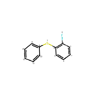 Fc1ccc[c]c1Sc1ccccc1